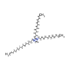 CCCCCCCCCCCCCCCCN1C=CN(CCCCCCCCCCCCC)C1CCCCCCCCCCCCCC